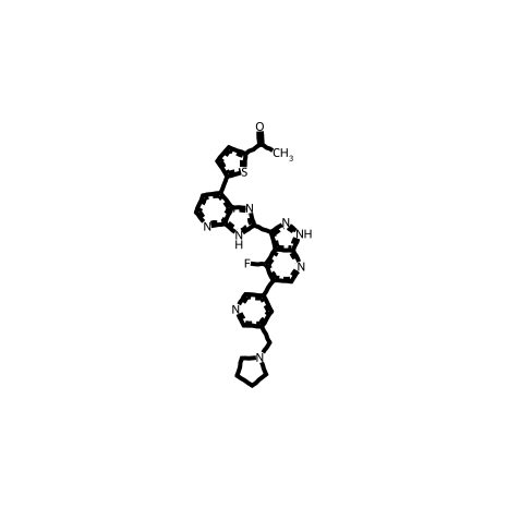 CC(=O)c1ccc(-c2ccnc3[nH]c(-c4n[nH]c5ncc(-c6cncc(CN7CCCC7)c6)c(F)c45)nc23)s1